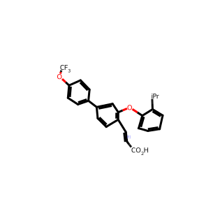 CC(C)c1ccccc1Oc1cc(-c2ccc(OC(F)(F)F)cc2)ccc1/C=C/C(=O)O